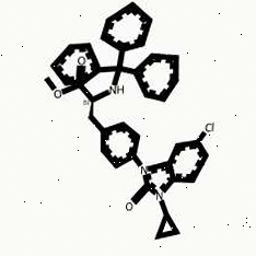 COC(=O)[C@H](Cc1ccc(-n2c(=O)n(C3CC3)c3ccc(Cl)cc32)cc1)NC(c1ccccc1)(c1ccccc1)c1ccccc1